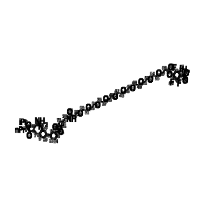 CCCN(OC(C)C)C(=O)C1=Cc2ccc(-c3cccc(S(=O)(=O)N4CC(CNC(=O)CCOCCOCCOCCOCCOCCOCCOCCOCCOCCOCCC(=O)Oc5c(F)c(F)c([SH](=O)=O)c(F)c5F)C4)c3)cc2N=C(N)C1